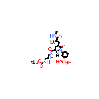 CCC(CC(CC(C)C(=O)NCCCNC(=O)OC(C)(C)C)C(=O)Nc1cccc(B(O)O)c1)C(=O)NC(C)C